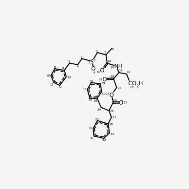 CC(C[S+]([O-])CCCc1ccccc1)C(=O)NC(CC(=O)O)C(=O)COC(=O)C(Cc1ccccc1)Cc1ccccc1